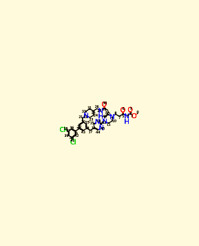 COC(=O)NC(=O)CCN1CCN(c2ncc(Cc3cc(CN4CCC(CNC(C)=O)CC4)cc(-c4cc(Cl)cc(Cl)c4)c3)cn2)CC1